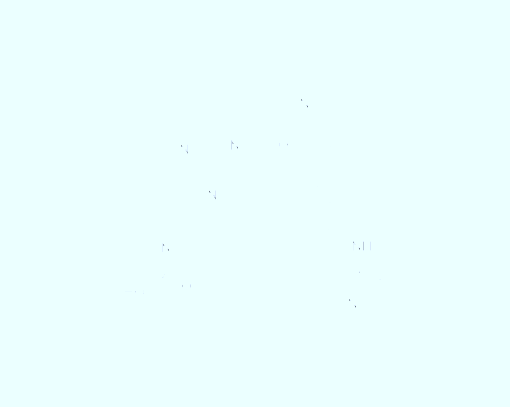 CCN(C)S(=O)(=O)Nc1cccc2c(Oc3ncccc3-c3ccnc(NC4CCCN(C(=O)O)C4)n3)c(C)ccc12